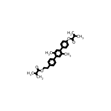 C=C(C)C(=O)OCCc1ccc(-c2cc(C)c(-c3ccc(OC(=O)C(=C)C)cc3)cc2C)cc1